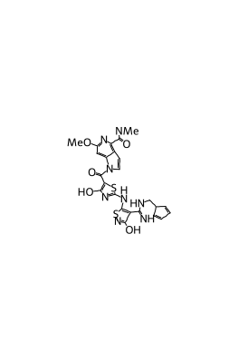 CNC(=O)c1nc(OC)cc2c1ccn2C(=O)c1sc(Nc2snc(O)c2C(=N)NCC2C=CC=C2)nc1O